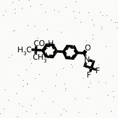 CC(C)(C(=O)O)c1ccc(-c2ccc(C(=O)N3CC(F)(F)C3)cc2)cc1